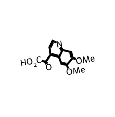 COc1cc2nccc(C(=O)C(=O)O)c2cc1OC